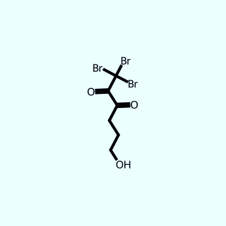 O=C(CCCO)C(=O)C(Br)(Br)Br